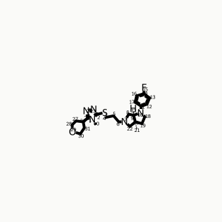 Cn1c(SCCCN2C[C@H]3N(c4ccc(F)cc4)CC[C@@]3(C)C2)nnc1C1CCOCC1